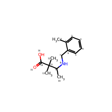 Cc1ccccc1CNC(C)C(C)(C)C(=O)O